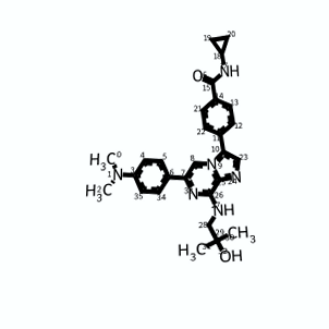 CN(C)c1ccc(-c2cn3c(-c4ccc(C(=O)NC5CC5)cc4)cnc3c(NCC(C)(C)O)n2)cc1